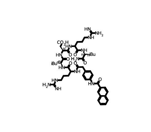 CC[C@H](C)[C@H](NC(=O)C(CCCNC(=N)N)NC(=O)[C@H](CC(=O)O)NC(=O)[C@@H](NC(=O)C(CCCNC(=N)N)NC(=O)Cc1ccc(NC(=O)c2ccc3ccccc3c2)cc1)[C@@H](C)CC)C(N)=O